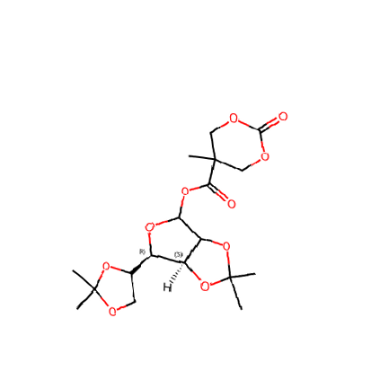 CC1(C)OCC([C@H]2OC(OC(=O)C3(C)COC(=O)OC3)C3OC(C)(C)O[C@H]32)O1